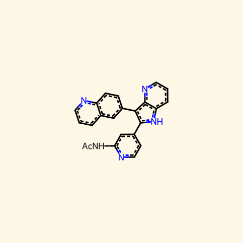 CC(=O)Nc1cc(-c2[nH]c3cccnc3c2-c2ccc3ncccc3c2)ccn1